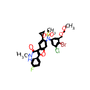 CNC(=O)c1c(-c2ccc(F)cc2)oc2cc(N(c3cc(Cl)c(Br)c(COCOC)c3)S(C)(=O)=O)c(C3CC3)cc12